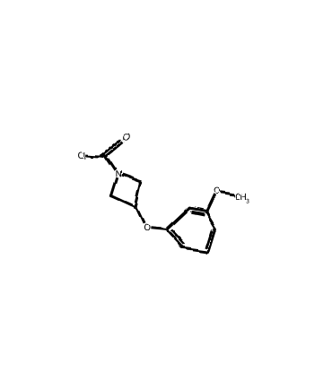 COc1cccc(OC2CN(C(=O)Cl)C2)c1